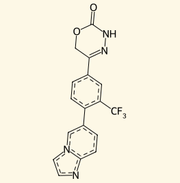 O=C1NN=C(c2ccc(-c3ccc4nccn4c3)c(C(F)(F)F)c2)CO1